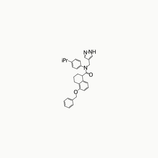 CC(C)c1ccc(N(Cc2cn[nH]c2)C(=O)C2CCCc3c(OCc4ccccc4)cccc32)cc1